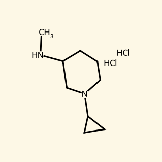 CNC1CCCN(C2CC2)C1.Cl.Cl